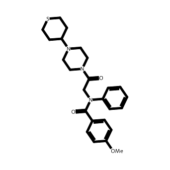 COc1ccc(C(=O)N(CC(=O)N2CCN(C3CCSCC3)CC2)c2ccccc2)cc1